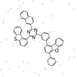 C1=CCCC(c2ccc(-c3cccc(-c4nc(-c5ccc6ccccc6c5)nc(-c5cccc6sc7ccccc7c56)n4)c3)c3c2oc2ccccc23)=C1